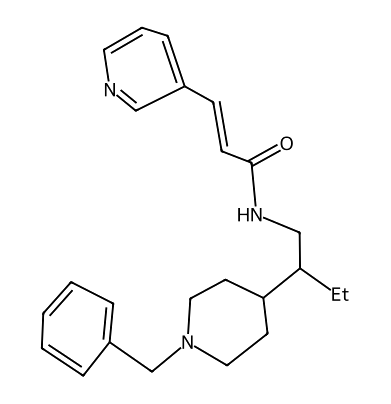 CCC(CNC(=O)C=Cc1cccnc1)C1CCN(Cc2ccccc2)CC1